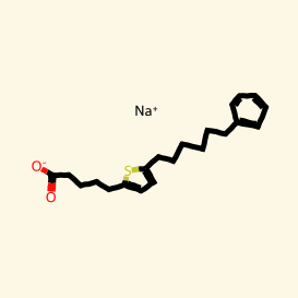 O=C([O-])CCCCc1ccc(CCCCCCc2ccccc2)s1.[Na+]